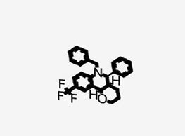 FC(F)(F)c1ccc2c(c1)[C@H]1OCCC[C@H]1[C@H](c1ccccc1)N2Cc1ccccc1